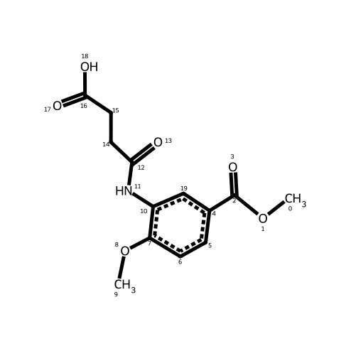 COC(=O)c1ccc(OC)c(NC(=O)CCC(=O)O)c1